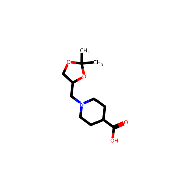 CC1(C)OCC(CN2CCC(C(=O)O)CC2)O1